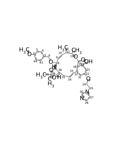 COc1ccc(COC2/C=C\[C@@H](C)[C@H](C)OC(=O)c3c(O)cc(OCCn4ccnc4)cc3/C=C/C[C@@H]3OC(C)(C)O[C@H]23)cc1